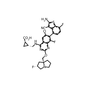 N#Cc1c(N)sc2c(F)ccc(-c3c(Cl)cc4c(NC[C@@H]5C[C@H]5C(=O)O)nc(OC[C@@]56CCCN5C[C@H](F)C6)nc4c3F)c12